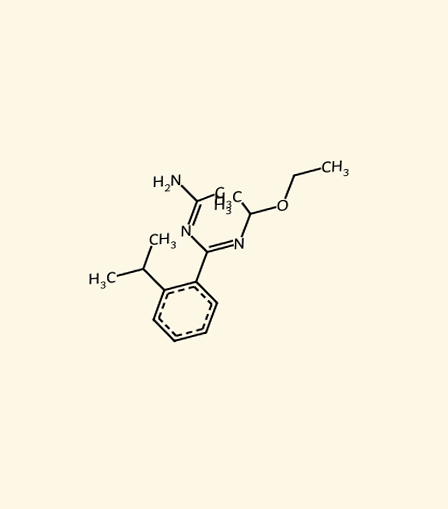 CCOC(C)/N=C(\N=C(/C)N)c1ccccc1C(C)C